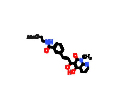 COCCNC(=O)c1cccc(C=CC(=O)c2c(O)c3cccnc3n(C)c2=O)c1